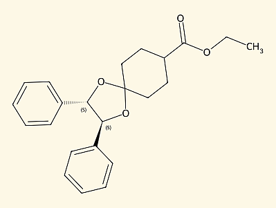 CCOC(=O)C1CCC2(CC1)O[C@@H](c1ccccc1)[C@H](c1ccccc1)O2